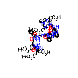 O=C(O)CC[C@H](NC(=O)N[C@@H](CCC(=O)N[C@@H](Cc1ccccc1)C(=O)NCCNC(=O)CNC(=O)C(Cc1ccccc1)NC(=O)[C@H](Cc1ccccc1)NC(=O)CN1CCN(CC(=O)O)CCN(CC(=O)O)CCN(CC(=O)O)CC1)C(=O)O)C(=O)O